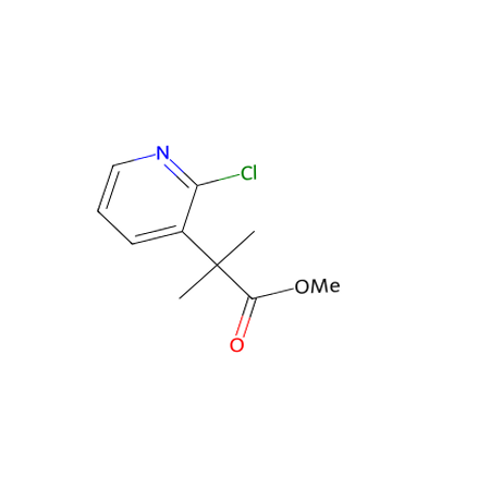 COC(=O)C(C)(C)c1cccnc1Cl